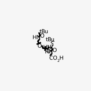 CC(C)(C)CSC[C@H](NC(=O)C(C)(C)CCOC(C)(C)CCNC(=O)CC(C)(C)C)C(=O)NCCC(=O)O